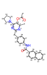 CC(=O)Oc1c(C)nc(Cc2ccc(NC(=O)c3ccc4ccccc4c3)cc2)nc1N1CCCC1